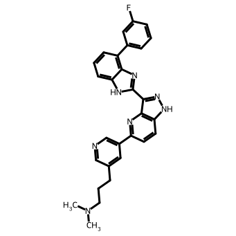 CN(C)CCCc1cncc(-c2ccc3[nH]nc(-c4nc5c(-c6cccc(F)c6)cccc5[nH]4)c3n2)c1